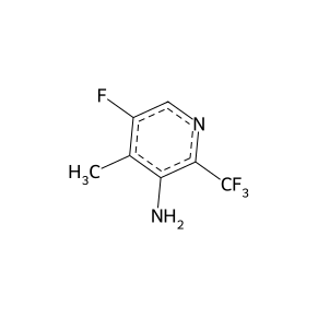 Cc1c(F)cnc(C(F)(F)F)c1N